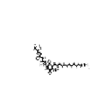 CCCCCCCCCCCCCC1=C(O)C(=O)C=C(NCCCC(=O)OCCCC)C1=O